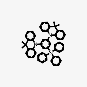 CC1(C)c2ccccc2N(c2cc(N3c4ccccc4C(C)(C)c4ccccc43)cc([Si](c3ccccc3)(c3ccccc3)c3ccccc3)c2)c2ccccc21